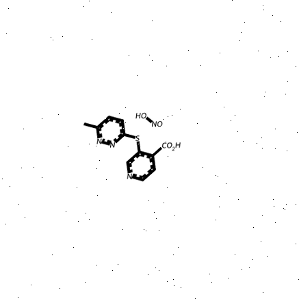 Cc1ccc(Sc2cnccc2C(=O)O)nn1.O=NO